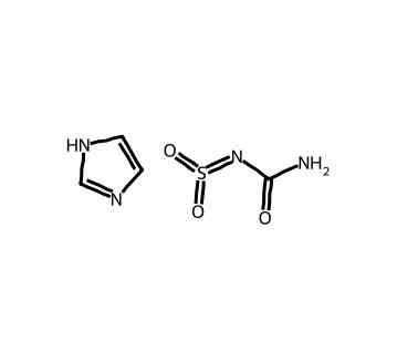 NC(=O)N=S(=O)=O.c1c[nH]cn1